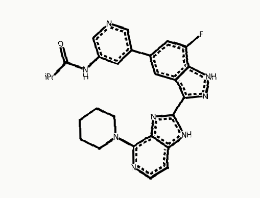 CC(C)C(=O)Nc1cncc(-c2cc(F)c3[nH]nc(-c4nc5c(N6CCCCC6)nccc5[nH]4)c3c2)c1